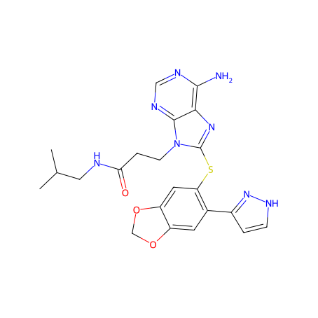 CC(C)CNC(=O)CCn1c(Sc2cc3c(cc2-c2cc[nH]n2)OCO3)nc2c(N)ncnc21